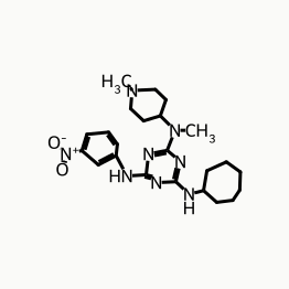 CN1CCC(N(C)c2nc(Nc3cccc([N+](=O)[O-])c3)nc(NC3CCCCCC3)n2)CC1